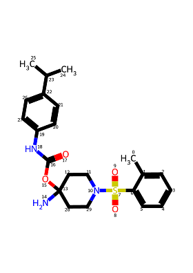 Cc1ccccc1S(=O)(=O)N1CCC(N)(OC(=O)Nc2ccc(C(C)C)cc2)CC1